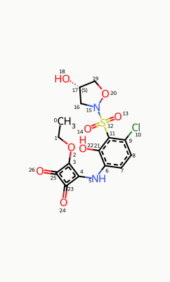 CCOc1c(Nc2ccc(Cl)c(S(=O)(=O)N3C[C@H](O)CO3)c2O)c(=O)c1=O